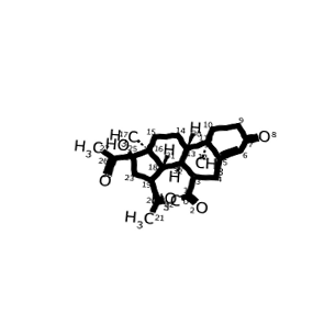 CC(=O)C1CC2=CC(=O)CC[C@]2(C)[C@H]2CC[C@@]3(C)[C@@H](C(C(C)=O)C[C@]3(O)C(C)=O)[C@H]12